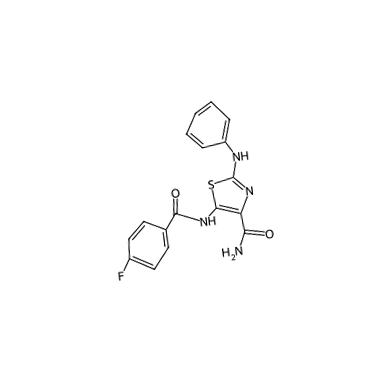 NC(=O)c1nc(Nc2ccccc2)sc1NC(=O)c1ccc(F)cc1